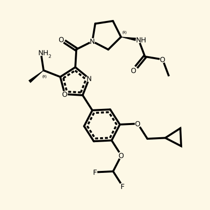 COC(=O)N[C@@H]1CCN(C(=O)c2nc(-c3ccc(OC(F)F)c(OCC4CC4)c3)oc2[C@@H](C)N)C1